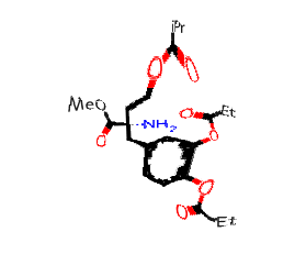 CCC(=O)Oc1ccc(C[C@](N)(CCOC(=O)C(C)C)C(=O)OC)cc1OC(=O)CC